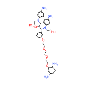 Nc1ccc(N(CCO)CC(O)C(c2cccc(OCCOCCOCCOc3cc(N)ccc3N)c2)N(CCO)c2ccc(N)cc2)cc1